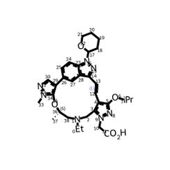 CCN1Cc2c(c(OC(C)C)nn2CC(=O)O)/C=C/c2nn(C3CCCCO3)c3ccc(cc23)-c2cnn(C)c2O[C@@H](C)C1